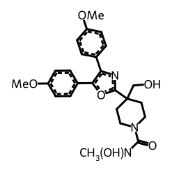 COc1ccc(-c2nc(C3(CO)CCN(C(=O)N(C)O)CC3)oc2-c2ccc(OC)cc2)cc1